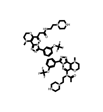 CC(=O)N(CCN1CCNCC1)c1nn2c(-c3cccc(OC(F)(F)F)c3)nnc2c2c1OCCN2C.CN1CCOc2c(CC(=O)NCCN3CCNCC3)nn3c(-c4cccc(OC(F)(F)F)c4)nnc3c21